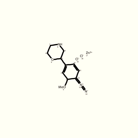 COC1C=C(C2CNCCO2)C=CC1=[N+]=[N-].[Cl-].[Cl-].[Zn+2]